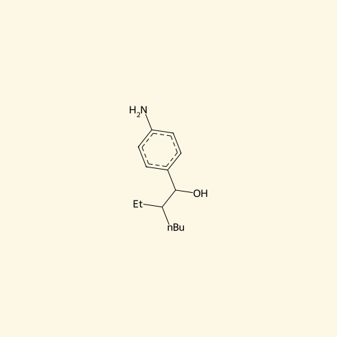 CCCCC(CC)C(O)c1ccc(N)cc1